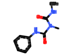 CONC(=O)N(C)C(=O)Nc1ccccc1